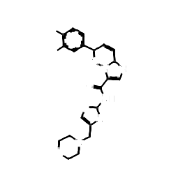 O=C(NC1NC(CN2CCOCC2)=CS1)C1=CNC2C=CC(c3ccc(F)c(F)c3)NN12